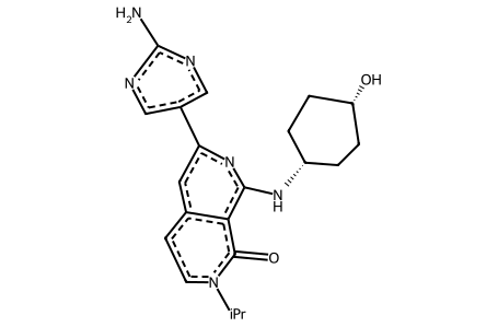 CC(C)n1ccc2cc(-c3cnc(N)nc3)nc(N[C@H]3CC[C@@H](O)CC3)c2c1=O